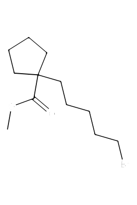 COC(=O)C1(CCCCCBr)CCCC1